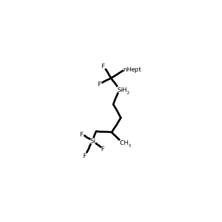 CCCCCCCC(F)(F)[SiH2]CCC(C)C[Si](F)(F)F